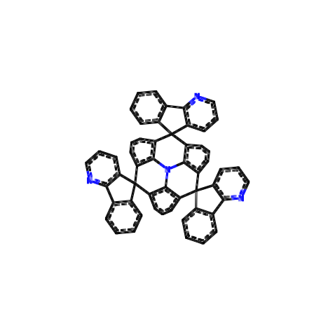 c1ccc2c(c1)-c1ncccc1C21c2cccc3c2N2c4c1cccc4C1(c4ccccc4-c4ncccc41)c1cccc(c12)C31c2ccccc2-c2ncccc21